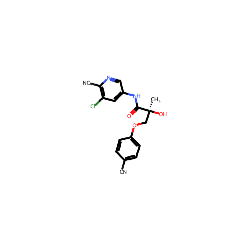 C[C@](O)(COc1ccc(C#N)cc1)C(=O)Nc1cnc(C#N)c(Cl)c1